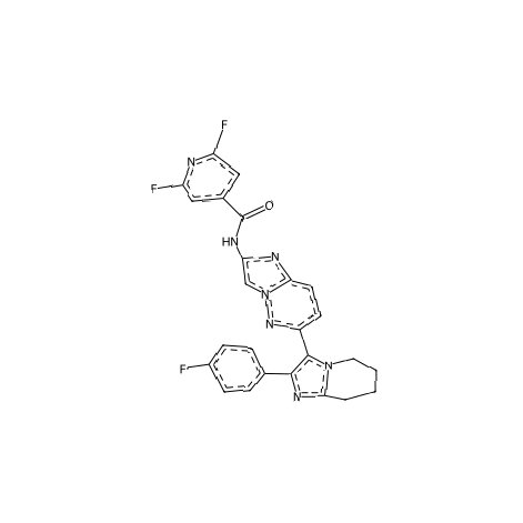 O=C(Nc1cn2nc(-c3c(-c4ccc(F)cc4)nc4n3CCCC4)ccc2n1)c1cc(F)nc(F)c1